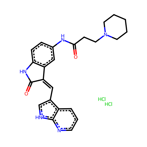 Cl.Cl.O=C(CCN1CCCCC1)Nc1ccc2c(c1)C(=Cc1c[nH]c3ncccc13)C(=O)N2